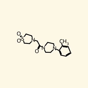 Cc1ccccc1N1CCN(C(=O)CN2CCS(=O)(=O)CC2)CC1